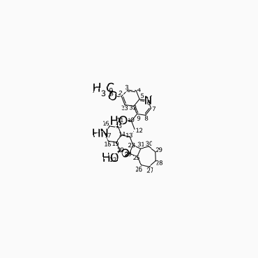 COc1ccc2nccc([C@H](O)C[C@@H](C3CCNCC3C(=O)O)C3CC4CCCCCC43)c2c1